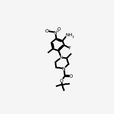 Cc1cc([N+](=O)[O-])c(N)c(F)c1N1CCN(C(=O)OC(C)(C)C)CC1C